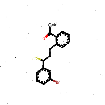 COC(=O)c1ccccc1CCC(S)c1cccc(Br)c1